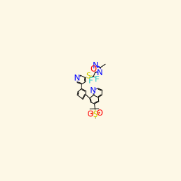 Cc1noc(C(F)(F)Sc2cncc(-c3cccc(-c4cc(C(C)(C)S(C)(=O)=O)cc5cccnc45)c3)c2)n1